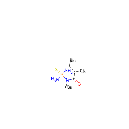 CCCCN(C(=O)C(C#N)CC(C)CC)P(N)(N)=S